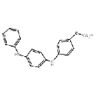 CCOC(=O)Oc1ccc(Nc2ccc(Nc3ccccc3)cc2)cc1